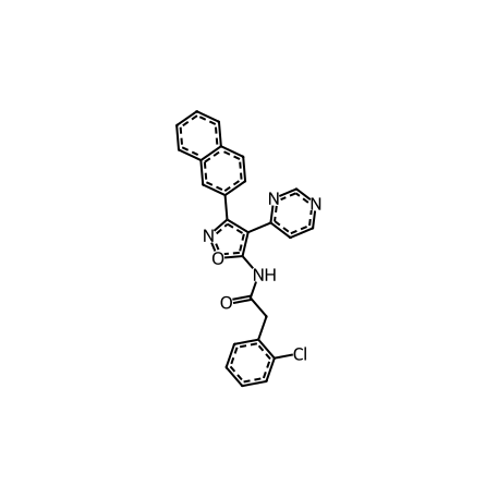 O=C(Cc1ccccc1Cl)Nc1onc(-c2ccc3ccccc3c2)c1-c1ccncn1